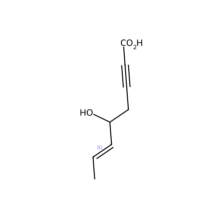 C/C=C/C(O)CC#CC(=O)O